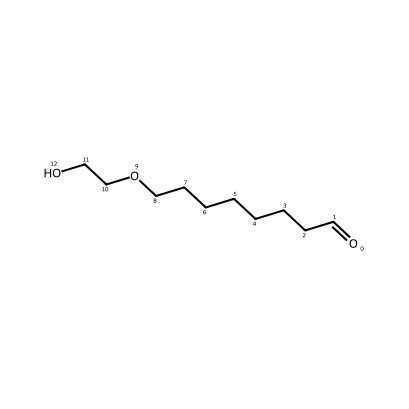 O=CCCCCCCCOCCO